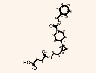 O=C(O)CCC(=O)OCCC1C[C@@H]1C1CCN(C(=O)OCc2ccccc2)CC1